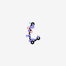 O=C(NCc1ncccc1F)c1coc(CCNCCc2nc3cccc(C#Cc4cccnc4)c3[nH]2)n1